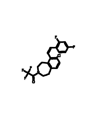 O=C(N1CCc2ccc(Cl)c(/C=C\c3ccc(F)cc3F)c2CC1)C(F)(F)F